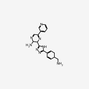 NCC1C=CC(c2nnc(C3N=C(c4cccnc4)C=NC3N)[nH]2)=CC1